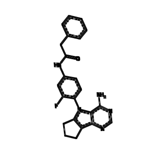 Nc1ncnc2c3c(n(-c4ccc(NC(=O)Cc5ccccc5)cc4F)c12)CCC3